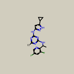 CCc1nc(Nc2cc(C3CC3)[nH]n2)nc(NC(C)c2ncc(F)cc2F)n1